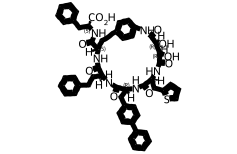 O=C(O)[C@H](Cc1ccccc1)NC(=O)[C@@H]1Cc2ccc(cc2)NC(=O)[C@H](O)[C@@H](O)C(=O)N[C@@H](Cc2cccs2)C(=O)N[C@H](Cc2ccc(-c3ccccc3)cc2)C(=O)N[C@@H](CCc2ccccc2)C(=O)N1